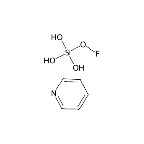 O[Si](O)(O)OF.c1ccncc1